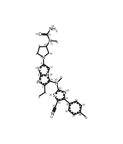 CCc1nc2sc(N3CCC(N(C)C(N)=O)C3)cn2c1N(C)c1nc(-c2ccc(C)cc2)c(C#N)s1